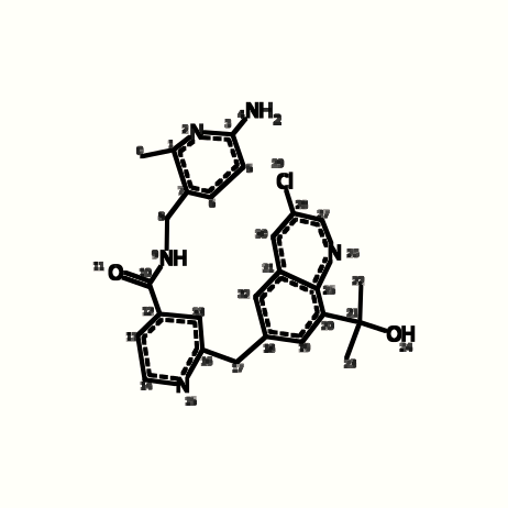 Cc1nc(N)ccc1CNC(=O)c1ccnc(Cc2cc(C(C)(C)O)c3ncc(Cl)cc3c2)c1